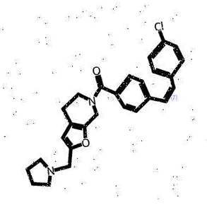 O=C(c1ccc(/C=C\c2ccc(Cl)cc2)cc1)N1CCc2cc(CN3CCCC3)oc2C1